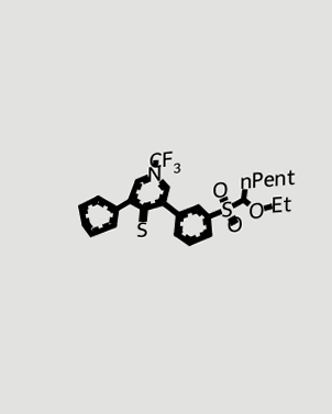 CCCCCC(OCC)S(=O)(=O)c1cccc(-c2cn(C(F)(F)F)cc(-c3ccccc3)c2=S)c1